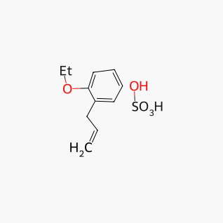 O=S(=O)(O)O.[CH2]COc1ccccc1CC=C